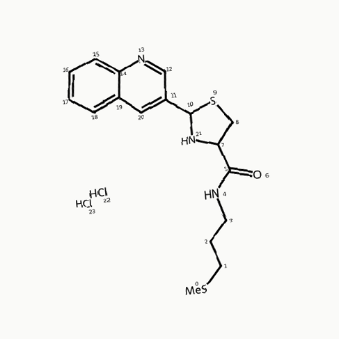 CSCCCNC(=O)C1CSC(c2cnc3ccccc3c2)N1.Cl.Cl